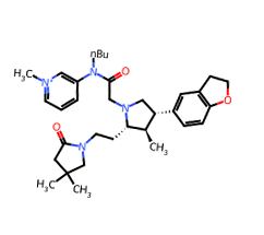 CCCCN(C(=O)CN1C[C@H](c2ccc3c(c2)CCO3)[C@@H](C)[C@@H]1CCN1CC(C)(C)CC1=O)c1ccc[n+](C)c1